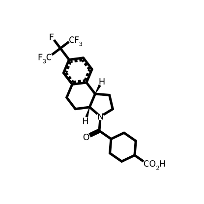 O=C(O)C1CCC(C(=O)N2CC[C@H]3c4ccc(C(F)(C(F)(F)F)C(F)(F)F)cc4CC[C@H]32)CC1